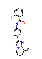 CCc1cccn2cc(-c3ccc(NC(=O)c4ccc(F)cc4F)cc3)nc12